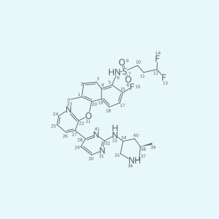 Cc1ccc2c(NS(=O)(=O)CCC(F)F)c(F)ccc2c1Oc1ncccc1-c1ccnc(NC2CNC[C@H](C)C2)n1